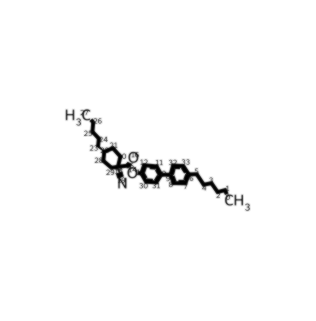 CCCCCCc1ccc(-c2ccc(OC(=O)[C@]3(C#N)CC[C@H](CCCCC)CC3)cc2)cc1